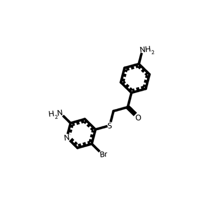 Nc1ccc(C(=O)CSc2cc(N)ncc2Br)cc1